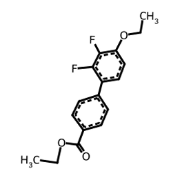 CCOC(=O)c1ccc(-c2ccc(OCC)c(F)c2F)cc1